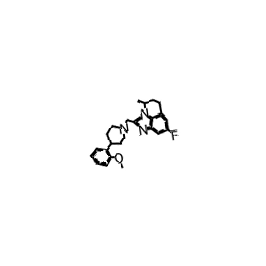 COc1ccccc1C1CCN(Cc2nc3cc(F)cc4c3n2C(C)CC4)CC1